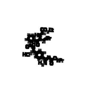 CCCOC(=O)N=C(N)c1ccc(CNC(=O)[C@@H]2CCCN2C(=O)[C@@H](CC(C)C)NCC(=O)OCC)cc1.Cl